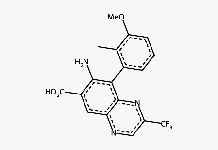 COc1cccc(-c2c(N)c(C(=O)O)cc3ncc(C(F)(F)F)nc23)c1C